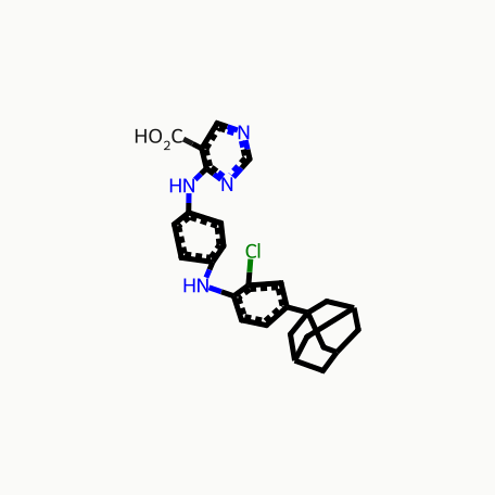 O=C(O)c1cncnc1Nc1ccc(Nc2ccc(C34CC5CC(CC(C5)C3)C4)cc2Cl)cc1